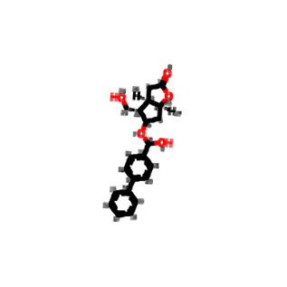 O=C1C[C@H]2[C@H](CC(OC(O)c3ccc(-c4ccccc4)cc3)[C@@H]2CO)O1